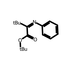 CC(C)(C)OC(=O)/C(=N\c1ccccc1)C(C)(C)C